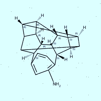 Nc1cc2ccc1[C@H]1[C@@H]3C4C5C6[C@H]7[C@@H]4[C@H]3[C@H]3[C@H]7[C@H]6[C@H]([C@@H]13)[C@@H]25